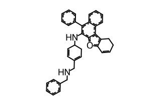 C1=Cc2oc3c(NC4C=CC(CNCc5ccccc5)=CC4)c(-c4ccccc4)c4ccccc4c3c2CC1